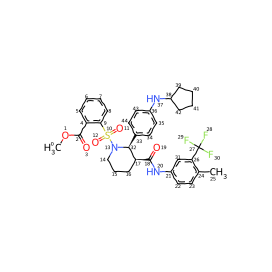 COC(=O)c1ccccc1S(=O)(=O)N1CCC[C@H](C(=O)Nc2ccc(C)c(C(F)(F)F)c2)[C@@H]1c1ccc(NC2CCCC2)cc1